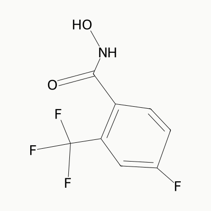 O=C(NO)c1ccc(F)cc1C(F)(F)F